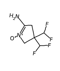 NC1=[N+]([O-])CC(C(F)F)(C(F)F)C1